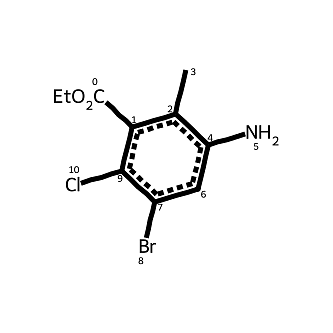 CCOC(=O)c1c(C)c(N)cc(Br)c1Cl